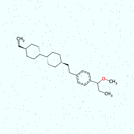 C=C[C@H]1CC[C@H]([C@H]2CC[C@H](CCc3ccc(C(CC)OC)cc3)CC2)CC1